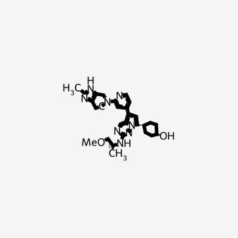 COC[C@H](C)Nc1ncc2c(-c3ccnc(N4CCc5nc(C)[nH]c5C4)c3)cc([C@H]3CC[C@H](O)CC3)n2n1